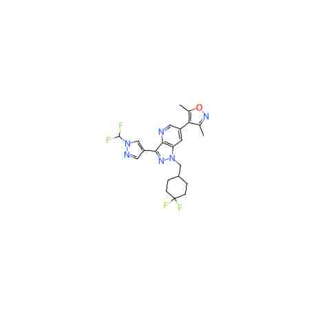 Cc1noc(C)c1-c1cnc2c(-c3cnn(C(F)F)c3)nn(CC3CCC(F)(F)CC3)c2c1